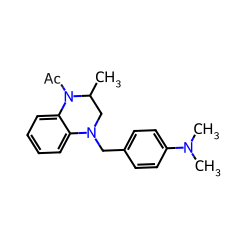 CC(=O)N1c2ccccc2N(Cc2ccc(N(C)C)cc2)CC1C